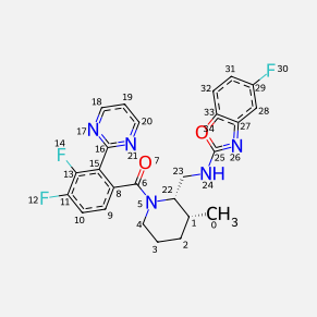 C[C@@H]1CCCN(C(=O)c2ccc(F)c(F)c2-c2ncccn2)[C@@H]1CNc1nc2cc(F)ccc2o1